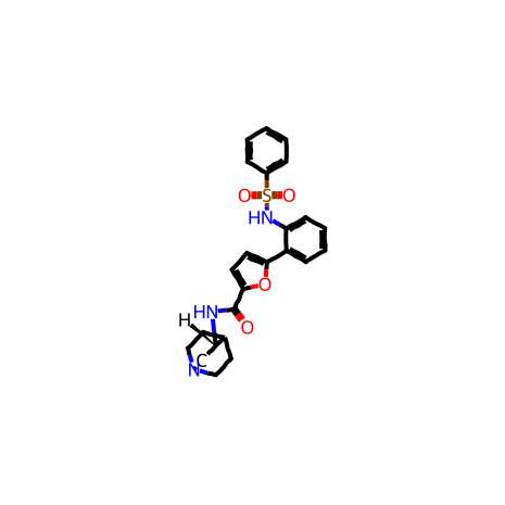 O=C(N[C@H]1CN2CCC1CC2)c1ccc(-c2ccccc2NS(=O)(=O)c2ccccc2)o1